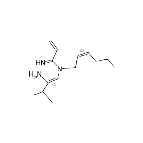 C=CC(=N)N(/C=C(\N)C(C)C)C/C=C\CCC